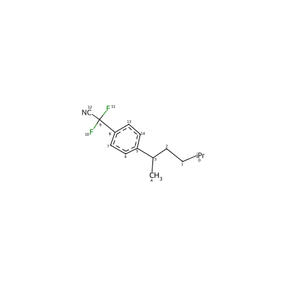 CC(C)CCC(C)c1ccc(C(F)(F)C#N)cc1